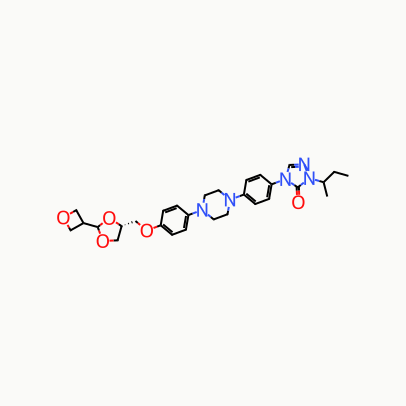 CCC(C)n1ncn(-c2ccc(N3CCN(c4ccc(OC[C@@H]5COC(C6COC6)O5)cc4)CC3)cc2)c1=O